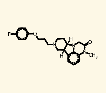 CN1C(=O)CN2c3c(cccc31)[C@@H]1CN(CCCOc3ccc(F)cc3)CC[C@@H]12